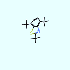 CC(C)(C)c1nc2c(C(C)(C)C)ccc(C(C)(C)C)c2s1